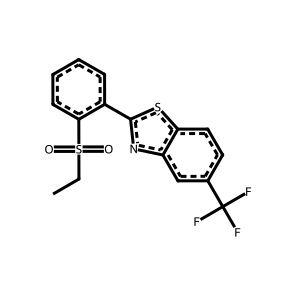 CCS(=O)(=O)c1ccccc1-c1nc2cc(C(F)(F)F)ccc2s1